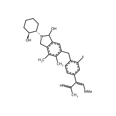 CN/C=C(\C(C)=N)c1ccc(Cc2cc3c(c(C)c2C)CN([C@H]2CCCC[C@@H]2O)C3O)c(F)c1